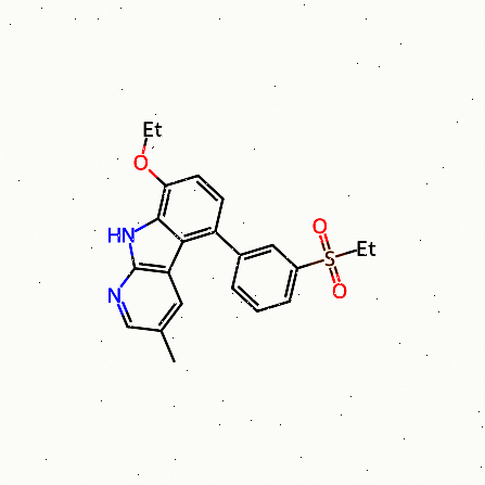 [CH2]COc1ccc(-c2cccc(S(=O)(=O)CC)c2)c2c1[nH]c1ncc(C)cc12